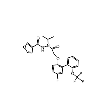 CC(C)N(NC(=O)c1ccoc1)C(=O)COc1ccc(F)cc1-c1ccccc1OC(F)(F)F